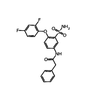 NS(=O)(=O)c1cc(NC(=O)Cc2ccccc2)ccc1Oc1ccc(F)cc1F